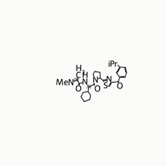 CN[C@@H](C)C(=O)N[C@H](C(=O)N1CCCC1c1nc(C(=O)c2cccc(C(C)C)c2)cs1)C1CCCCC1